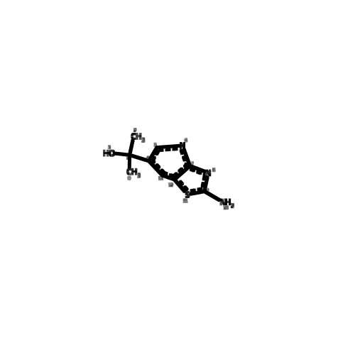 CC(C)(O)c1cnc2nc(N)sc2c1